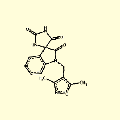 Cc1noc(C)c1CN1C(=O)C2(NC(=O)NC2=O)c2ccccc21